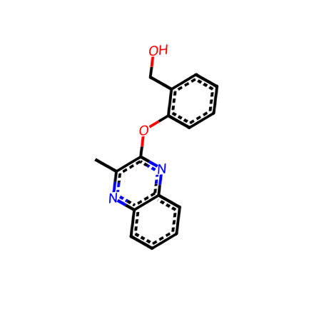 Cc1nc2ccccc2nc1Oc1ccccc1CO